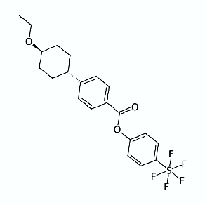 CCO[C@H]1CC[C@H](c2ccc(C(=O)Oc3ccc(S(F)(F)(F)(F)F)cc3)cc2)CC1